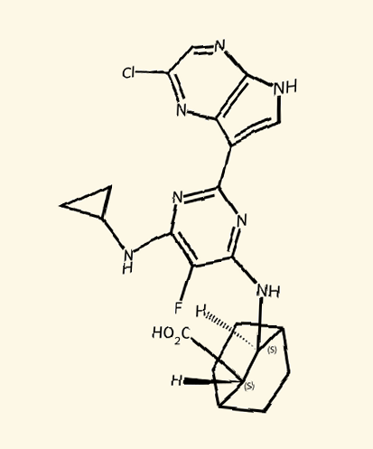 O=C(O)[C@H]1C2CCC(CC2)[C@@H]1Nc1nc(-c2c[nH]c3ncc(Cl)nc23)nc(NC2CC2)c1F